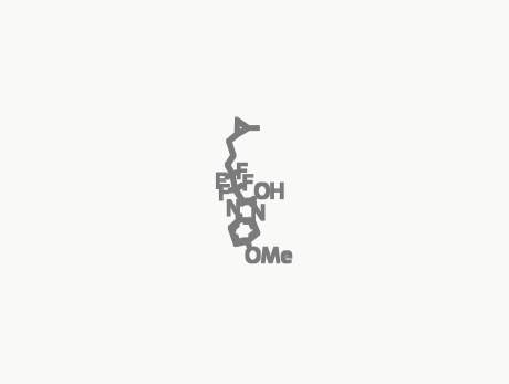 COc1ccc2nc(C(F)(F)C(F)(F)CCCC3CC3C)c(O)nc2c1